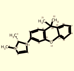 C[C@H]1N(C)C=CN1c1ccc2c(c1)Oc1ccccc1C2(C)C